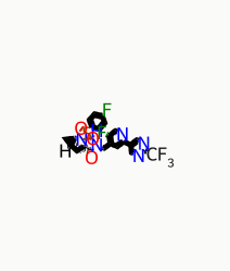 O=C(NCc1cc(-c2cnc(C(F)(F)F)nc2)ncc1F)[C@@H]1C[C@@H]2C=C2N1S(=O)(=O)c1ccc(F)cc1